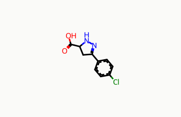 O=C(O)C1CC(c2ccc(Cl)cc2)=NN1